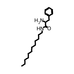 CCCCCCCCCCCCNC(=O)C(N)Cc1ccccc1